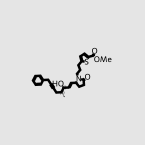 COC(=O)c1ccc(CCCN2C(=O)CCC2C=C[C@@H](O)[C@H](C)CC#CCc2ccccc2)s1